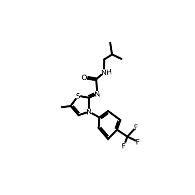 Cc1cn(-c2ccc(C(F)(F)F)cc2)c(=NC(=O)NCC(C)C)s1